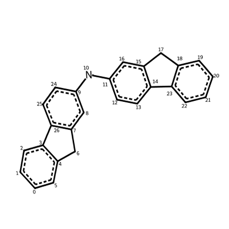 c1ccc2c(c1)Cc1cc([N]c3ccc4c(c3)Cc3ccccc3-4)ccc1-2